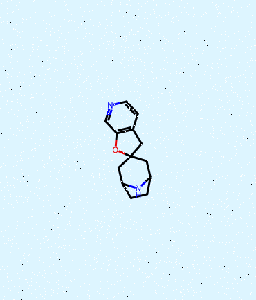 c1cc2c(cn1)OC1(C2)CC2CCC(C1)N2